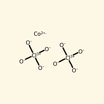 [Co+2].[O-][Cl+3]([O-])([O-])[O-].[O-][Cl+3]([O-])([O-])[O-]